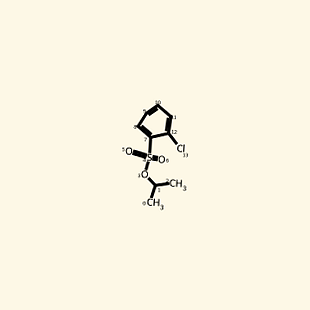 CC(C)OS(=O)(=O)c1ccccc1Cl